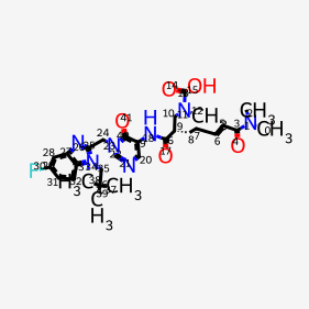 CN(C)C(=O)/C=C/CC[C@@H](CN(C)C(=O)O)C(=O)Nc1cncn(Cc2nc3cc(F)ccc3n2CC(C)(C)C)c1=O